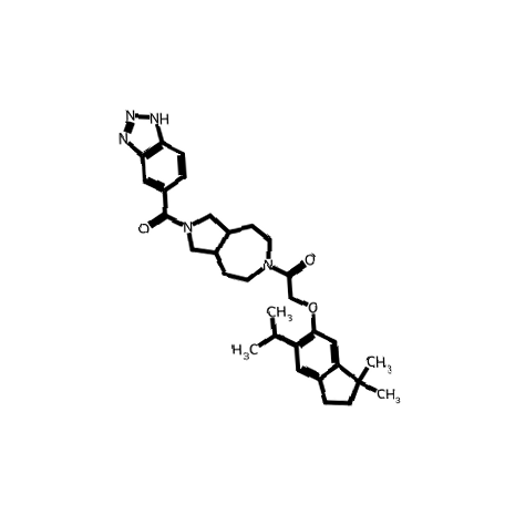 CC(C)c1cc2c(cc1OCC(=O)N1CCC3CN(C(=O)c4ccc5[nH]nnc5c4)CC3CC1)C(C)(C)CC2